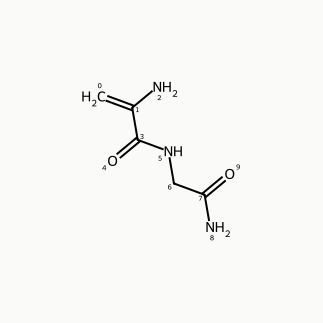 C=C(N)C(=O)NCC(N)=O